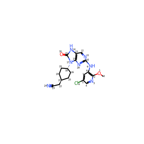 COc1ncc(Cl)cc1Nc1ncc2[nH]c(=O)n([C@H]3CC[C@H](CC#N)CC3)c2n1